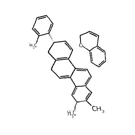 C1=Cc2ccccc2OC1.CC1=Cc2ccc3c(c2=CC1C)=CCC1=C3C=C[C@@H](c2ccccc2C)C1